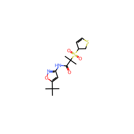 CC(C)(C)c1cc(NC(=O)C(C)(C)S(=O)(=O)C2C=CSC2)no1